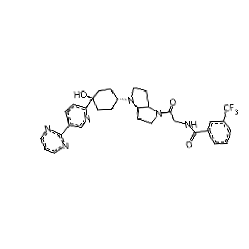 O=C(NCC(=O)N1CCC2C1CCN2[C@H]1CC[C@@](O)(c2ccc(-c3ncccn3)cn2)CC1)c1cccc(C(F)(F)F)c1